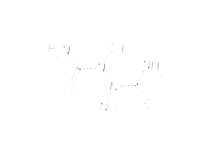 CN(C(N)=O)N(N=O)C(N)=O